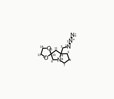 [N-]=[N+]=NCC12CCCN1CC1(C2)OCCO1